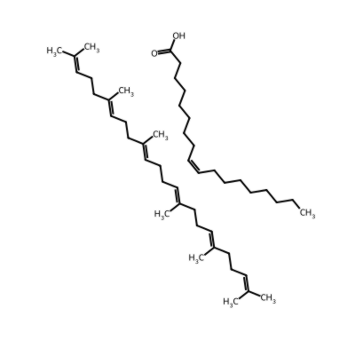 CC(C)=CCC/C(C)=C/CC/C(C)=C/CC/C=C(\C)CC/C=C(\C)CCC=C(C)C.CCCCCCCC/C=C\CCCCCCCC(=O)O